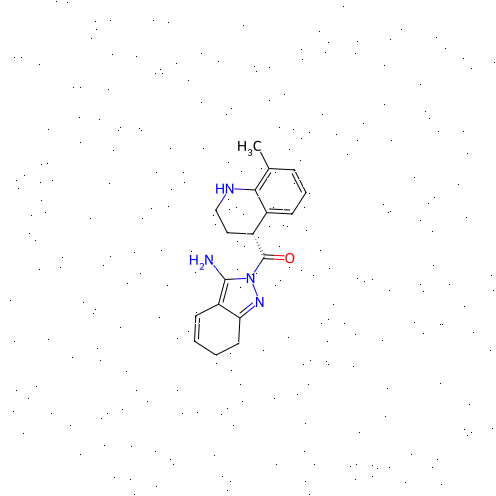 Cc1cccc2c1NCC[C@H]2C(=O)n1nc2c(c1N)C=CCC2